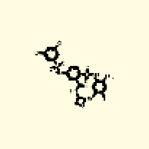 Cc1cc(F)c(Br)cc1NS(=O)(=O)c1ccc(NS(=O)(=O)c2cc(Cl)cc(Cl)c2)cc1C(=O)NC1COC1